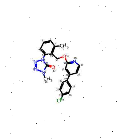 Cc1cccc(-n2nnn(C)c2=O)c1COc1cc(-c2ccc(Cl)cc2)ccn1